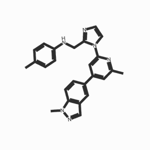 Cc1ccc(NCc2nccn2-c2cc(-c3ccc4c(cnn4C)c3)cc(C)n2)cc1